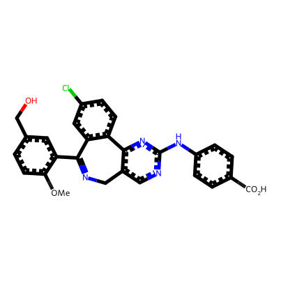 COc1ccc(CO)cc1C1=NCc2cnc(Nc3ccc(C(=O)O)cc3)nc2-c2ccc(Cl)cc21